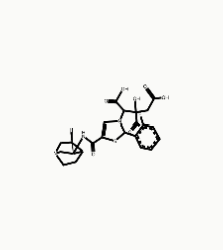 O=C(O)CC(O)(C(=O)O)C(C(=O)O)N1C=C(C(=O)N[C@H]2CN3CCC2CC3)SC1c1ccccc1F